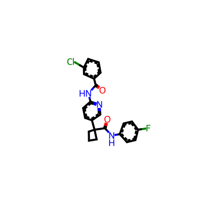 O=C(Nc1ccc(C2(C(=O)Nc3ccc(F)cc3)CCC2)cn1)c1cccc(Cl)c1